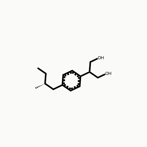 CC[C@@H](C)Cc1ccc(C(CO)CO)cc1